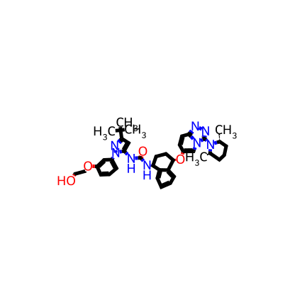 C[C@@H]1CCC[C@H](C)N1c1nnc2ccc(O[C@@H]3CC[C@H](NC(=O)Nc4cc(C(C)(C)C)nn4-c4cccc(OCCO)c4)c4ccccc43)cn12